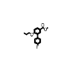 CCCOc1ccc(C(=O)OC)cc1-c1ccc(F)cc1